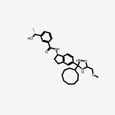 COCC1NC(c2ccc3c(c2)CC[C@H]3NC(=O)c2cccc([C@@H](C)O)c2)(C2CCCCCCCC2)NO1